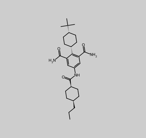 CCC[C@H]1CC[C@@H](C(=O)Nc2cc(C(N)=O)c([C@H]3CC[C@@H](C(C)(C)C)CC3)c(C(N)=O)c2)CC1